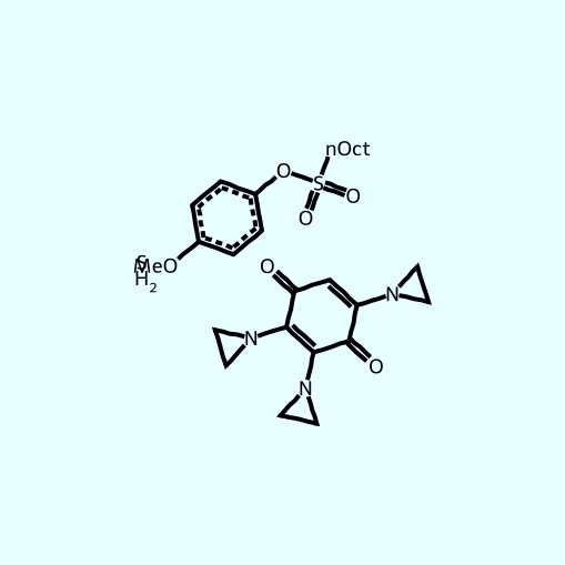 CCCCCCCCS(=O)(=O)Oc1ccc(OC)cc1.O=C1C=C(N2CC2)C(=O)C(N2CC2)=C1N1CC1.S